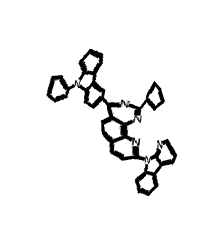 c1ccc(-c2nc(-c3ccc4c(c3)c3ccccc3n4-c3ccccc3)c3ccc4ccc(-n5c6ccccc6c6cccnc65)nc4c3n2)cc1